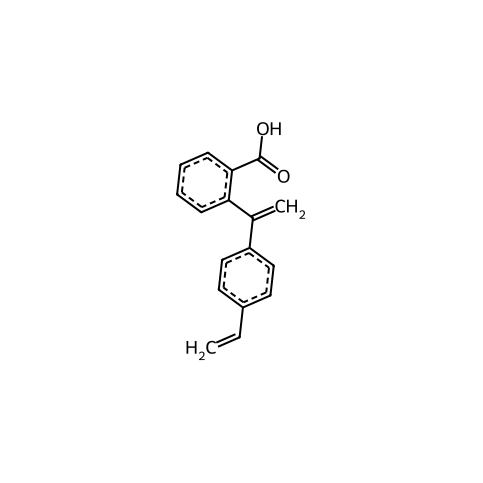 C=Cc1ccc(C(=C)c2ccccc2C(=O)O)cc1